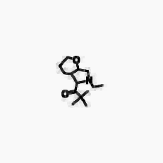 CCN1CC2OCCCC2C1C(=O)C(C)(C)C